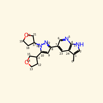 Cc1c[nH]c2ncc(-c3cc(C4CCOC4)n(C4CCOC4)n3)cc12